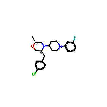 C[C@H]1CN(C2CCN(c3cccc(F)c3)CC2)[C@@H](Cc2ccc(Cl)cc2)CO1